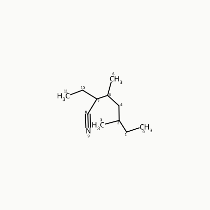 CCC(C)CC(C)C(C#N)CC